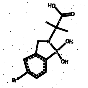 CC(C)(C(=O)O)N1Cc2cc(Br)ccc2S1(O)O